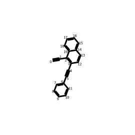 C#Cc1c(C#Cc2ccccc2)ccc2ccccc12